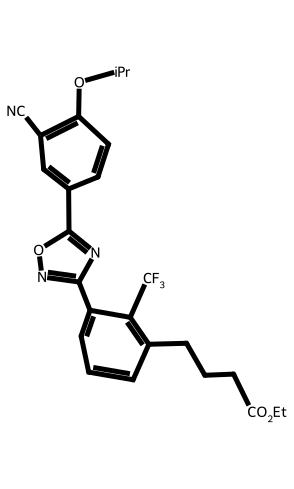 CCOC(=O)CCCc1cccc(-c2noc(-c3ccc(OC(C)C)c(C#N)c3)n2)c1C(F)(F)F